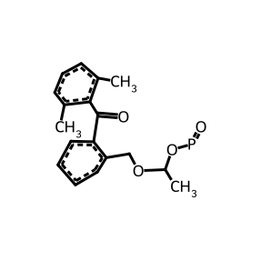 Cc1cccc(C)c1C(=O)c1ccccc1COC(C)OP=O